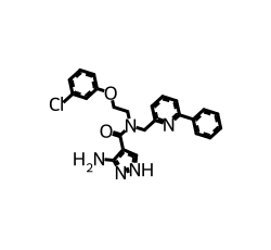 Nc1n[nH]cc1C(=O)N(CCOc1cccc(Cl)c1)Cc1cccc(-c2ccccc2)n1